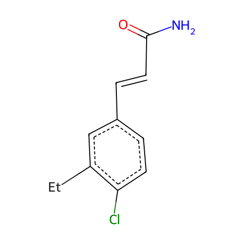 CCc1cc(/C=C/C(N)=O)ccc1Cl